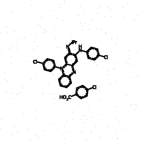 CC(C)N=c1cc2n(-c3ccc(Cl)cc3)c3ccccc3nc-2cc1Nc1ccc(Cl)cc1.O=C(O)c1ccc(Cl)cc1